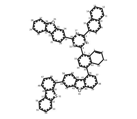 C1=Cc2c(-c3nc(-c4ccc5ccccc5c4)nc(-c4ccc5c(c4)oc4ccccc45)n3)ccc(-c3cccc4oc5cc(-c6cccc7c6sc6ccccc67)ccc5c34)c2CC1